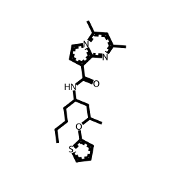 CCCCC(CC(C)Oc1cccs1)NC(=O)c1ccn2c(C)cc(C)nc12